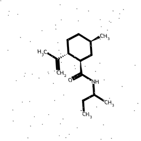 C=C(C)[C@@H]1CC[C@@H](C)C[C@H]1C(=O)NC(C)CC